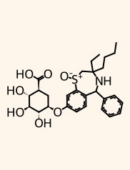 CCCCC1(CC)C[S+]([O-])c2cc(O[C@@H]3C[C@H](C(=O)O)[C@@H](O)[C@H](O)[C@H]3O)ccc2C(c2ccccc2)N1